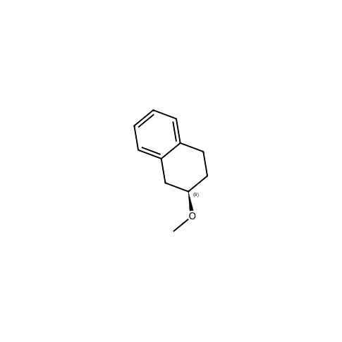 CO[C@@H]1CCc2ccccc2C1